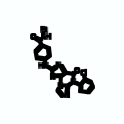 CCNC(=O)c1ccc(Nc2ncc3c(=O)n(-c4ccccc4Cl)c4nccn4c3n2)cc1